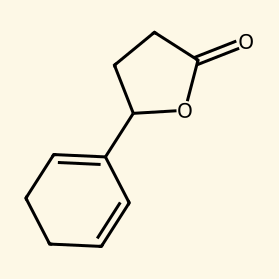 O=C1CCC(C2=CCCC=C2)O1